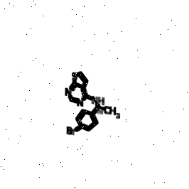 C[C@H](Nc1ncnc2sccc12)c1ccc(Br)cc1